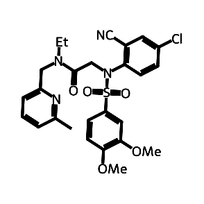 CCN(Cc1cccc(C)n1)C(=O)CN(c1ccc(Cl)cc1C#N)S(=O)(=O)c1ccc(OC)c(OC)c1